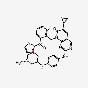 CN1CCCC(Nc2ccc(Nc3ncc4cc(C5CC5)c(=O)n(Cc5c(F)cccc5[S+]([O-])c5nccs5)c4n3)cc2)C1